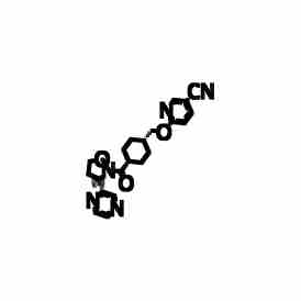 N#Cc1ccc(OC[C@H]2CC[C@H](C(=O)N3OCC[C@H]3c3cnccn3)CC2)nc1